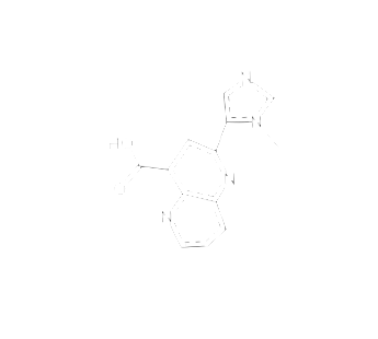 Cn1cncc1-c1cc(C(=O)O)c2ncccc2n1